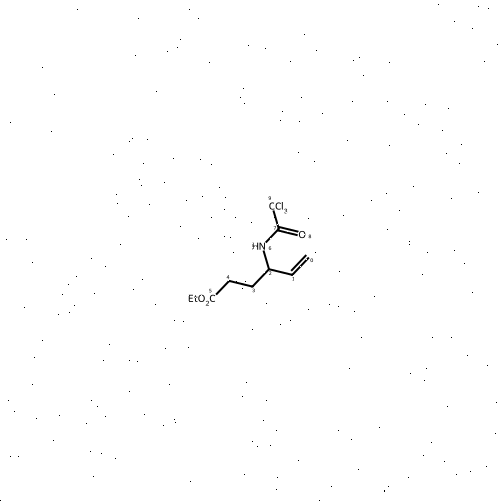 C=CC(CCC(=O)OCC)NC(=O)C(Cl)(Cl)Cl